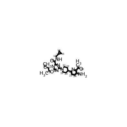 COC[C@@H](C)Oc1nc(C(=O)NCC2CC2)nc(N2CCC(c3ccc(N)c(C(C)=O)n3)CC2)n1